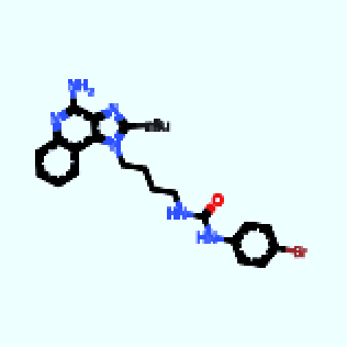 CCCCc1nc2c(N)nc3ccccc3c2n1CCCCNC(=O)Nc1ccc(Br)cc1